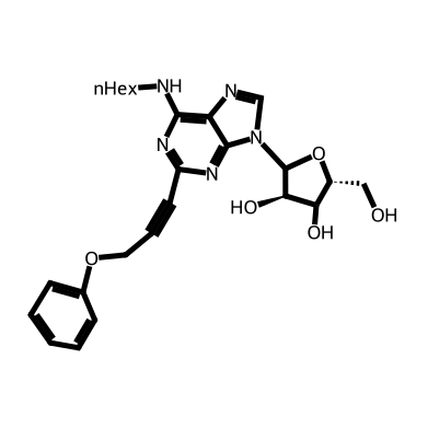 CCCCCCNc1nc(C#CCOc2ccccc2)nc2c1ncn2C1O[C@H](CO)C(O)[C@H]1O